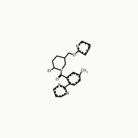 CCC1CCC(COc2ccccn2)CN1C(=O)c1cc(C)ccc1-c1ncccn1